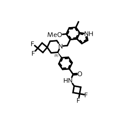 COc1cc(C)c2[nH]ccc2c1CN1CCC2(C[C@@H]1c1ccc(C(=O)NC3CC(F)(F)C3)cc1)CC(F)(F)C2